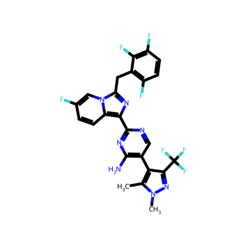 Cc1c(-c2cnc(-c3nc(Cc4c(F)ccc(F)c4F)n4cc(F)ccc34)nc2N)c(C(F)(F)F)nn1C